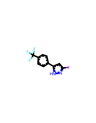 FC(F)(F)c1ccc(-c2cc(I)n[nH]2)cc1